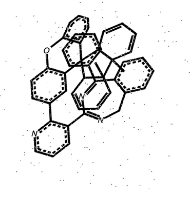 CC12C=CC=CC1C1(c3ccccc3Oc3ccc(-c4ncccc4C4=NCc5ccccc5C(c5ccccc5)=N4)cc31)C1C=CC=CC12C